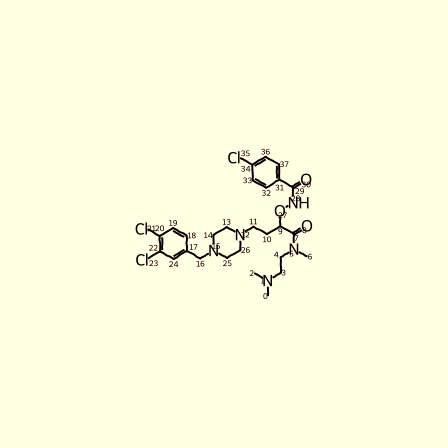 CN(C)CCN(C)C(=O)C(CCN1CCN(Cc2ccc(Cl)c(Cl)c2)CC1)ONC(=O)c1ccc(Cl)cc1